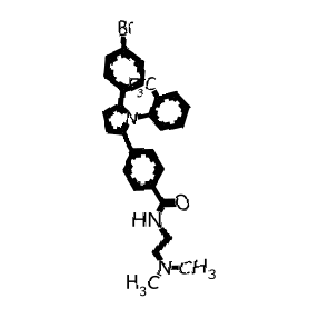 CN(C)CCNC(=O)c1ccc(-c2ccc(-c3ccc(Br)cc3)n2-c2ccccc2C(F)(F)F)cc1